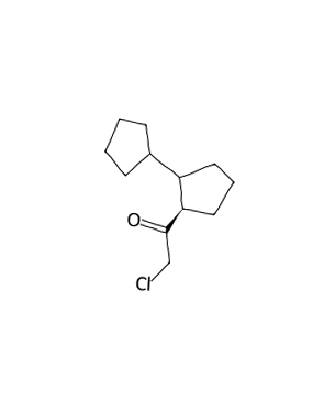 O=C(CCl)[C@@H]1CCCC1C1CCCC1